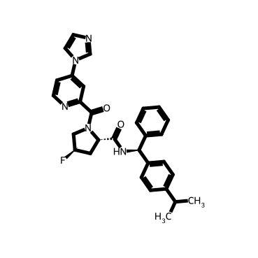 CC(C)c1ccc([C@@H](NC(=O)[C@@H]2C[C@@H](F)CN2C(=O)c2cc(-n3ccnc3)ccn2)c2ccccc2)cc1